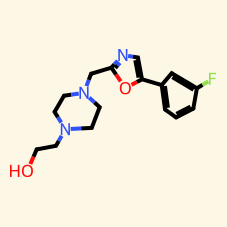 OCCN1CCN(Cc2ncc(-c3cccc(F)c3)o2)CC1